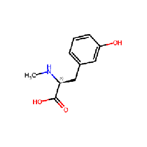 CN[C@@H](Cc1cccc(O)c1)C(=O)O